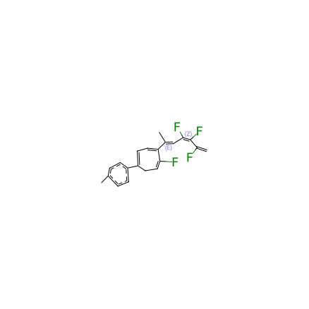 C=C(F)/C(F)=C(F)\C=C(/C)C1=CC=C(c2ccc(C)cc2)CC=C1F